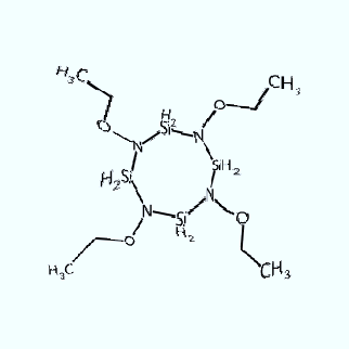 CCON1[SiH2]N(OCC)[SiH2]N(OCC)[SiH2]N(OCC)[SiH2]1